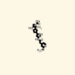 COc1cc(CC(=O)Nc2cc(C3CCC([C@]4(C)[C@@H](O)CN4C(=O)O)C3)[nH]n2)ccn1